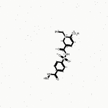 CCCCNC(=O)c1ccc(S(=O)(=O)NC(=O)C2=CC=C(C(=O)O)N(CC(C)C)C2)cc1